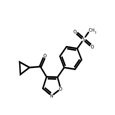 CS(=O)(=O)c1ccc(-c2oncc2C(=O)C2CC2)cc1